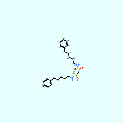 O=S(=O)(CS(=O)(=O)NCCCCCc1ccc(F)cc1)NCCCCCc1ccc(F)cc1